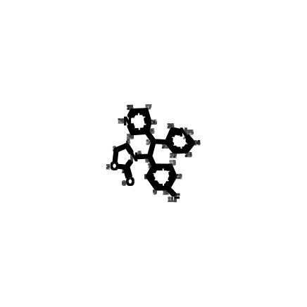 O=C1OCCN1C(c1ccc(F)cc1)C(c1cccnc1)c1cccnc1